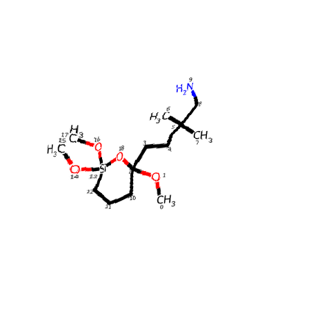 COC1(CCC(C)(C)CN)CCC[Si](OC)(OC)O1